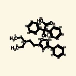 CCN(CC)CCc1nc(-c2ccccc2)no1.O=C(O)C(O)(c1ccccc1)c1ccccc1